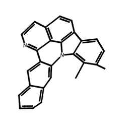 Cc1ccc2c3ccc4ccnc5c6cc7ccccc7cc6n(c2c1C)c3c45